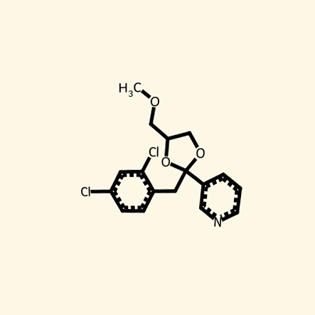 COCC1COC(Cc2ccc(Cl)cc2Cl)(c2cccnc2)O1